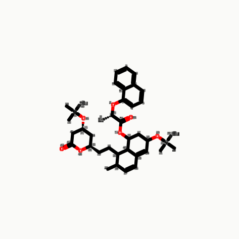 CC[C@H](Oc1cccc2ccccc12)C(=O)OC1CC(O[Si](C)(C)C(C)(C)C)C=C2C=CC(C)C(CC[C@@H]3C[C@@H](O[Si](C)(C)C(C)(C)C)CC(=O)O3)C21